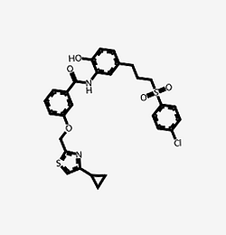 O=C(Nc1cc(CCCS(=O)(=O)c2ccc(Cl)cc2)ccc1O)c1cccc(OCc2nc(C3CC3)cs2)c1